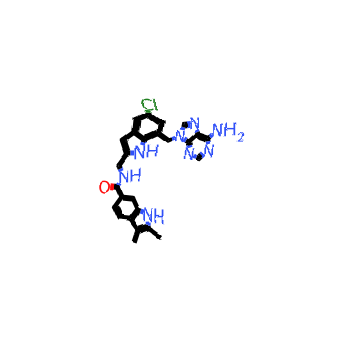 Cc1[nH]c2cc(C(=O)NCc3cc4cc(Cl)cc(Cn5cnc6c(N)ncnc65)c4[nH]3)ccc2c1C